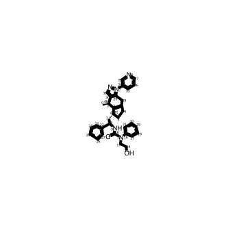 C[C@@H]1C2=C(CC[C@@H]2CC(NC(=O)N(CCO)c2ccccc2)c2ccccc2)Cc2c1cnn2-c1cccnc1